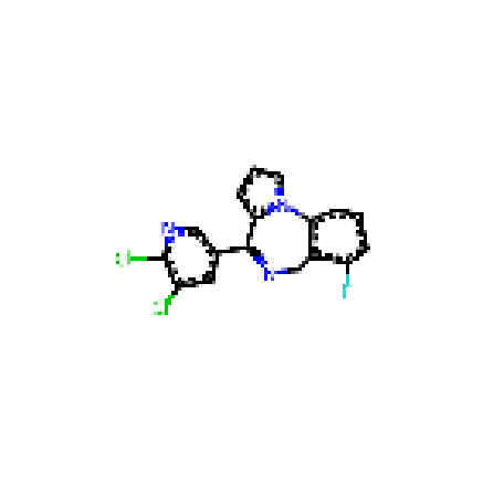 Fc1cccc2c1CN=C(c1cnc(Cl)c(Cl)c1)c1cccn1-2